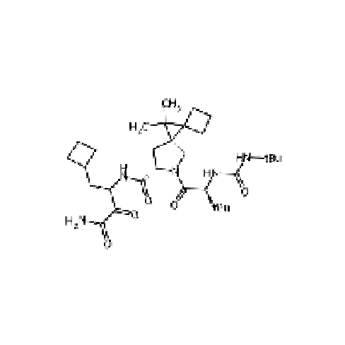 CC(C)(C)NC(=O)N[C@H](C(=O)N1C[C@]2(C[C@H]1C(=O)NC(CC1CCC1)C(=O)C(N)=O)C(C)(C)C21CCC1)C(C)(C)C